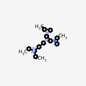 Cc1cccc(-c2cc(-c3ccc(-c4ccc(-n5c6ccc(-n7c8ccccc8c8cc(C)ccc87)cc6c6cc(-n7c8ccccc8c8cc(C)ccc87)ccc65)cc4)cc3)nc(-c3cccc(C)c3)n2)c1